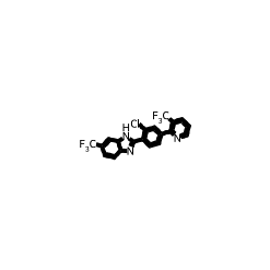 FC(F)(F)C1=CC2NC(c3ccc(-c4ncccc4C(F)(F)F)cc3Cl)=NC2C=C1